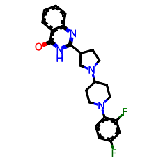 O=c1[nH]c(C2CCN(C3CCN(c4ccc(F)cc4F)CC3)C2)nc2ccccc12